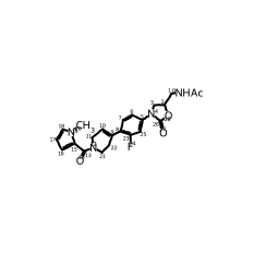 CC(=O)NCC1CN(c2ccc(C3=CCN(C(=O)c4cccn4C)CC3)c(F)c2)C(=O)O1